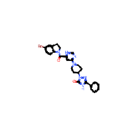 O=C(c1cc(N2CCC(n3nc(-c4ccccc4)[nH]c3=O)CC2)ncn1)N1CCc2cc(Br)ccc21